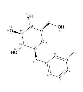 Cc1cccc(S[C@@H]2O[C@H](CO)[C@@H](O)[C@H](O)[C@H]2O)c1